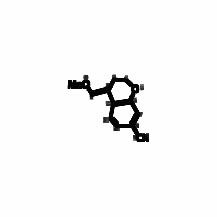 COC=C1CCOc2cc(C#N)ccc21